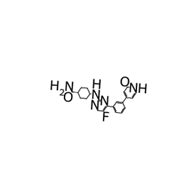 NC(=O)[C@H]1CC[C@H](Nc2ncc(F)c(-c3cccc(-c4cc[nH]c(=O)c4)c3)n2)CC1